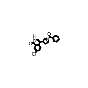 O=C(c1ccccc1)N1CCC(c2c[nH]c(=O)c3cc(Cl)ccc23)C1